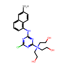 O=S(=O)(O)c1ccc2c(Nc3nc(Cl)nc([N+](CCO)(CCO)CCO)n3)cccc2c1